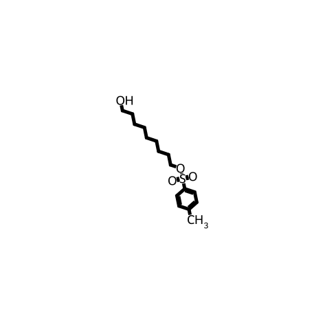 Cc1ccc(S(=O)(=O)OCCCCCCCCCO)cc1